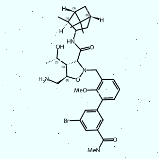 CNC(=O)c1cc(Br)cc(-c2cccc(CN3O[C@@H](CN)[C@H]([C@H](C)O)C3C(=O)NC3C[C@H]4C[C@@H]([C@@H]3C)C4(C)C)c2OC)c1